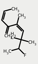 C=C(/C=C\C)/C(C)=C\C(C)(C)C(C)F